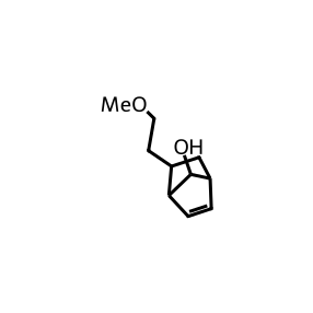 COCCC1CC2C=CC1C2O